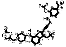 CP(C)(=O)c1ccc(NCC#Cc2sc3c(NC4CCN(CC5COC(=O)O5)CC4)cccc3c2CC(F)(F)F)c(OC(F)F)c1